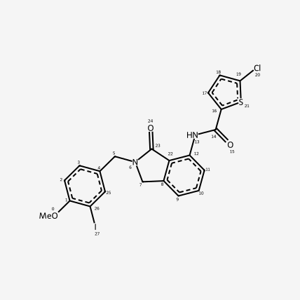 COc1ccc(CN2Cc3cccc(NC(=O)c4ccc(Cl)s4)c3C2=O)cc1I